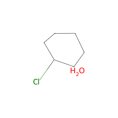 ClC1CCCCC1.O